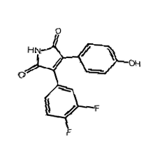 O=C1NC(=O)C(c2ccc(F)c(F)c2)=C1c1ccc(O)cc1